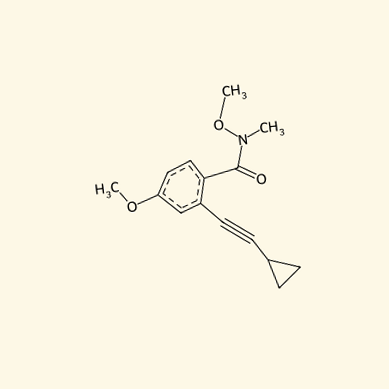 COc1ccc(C(=O)N(C)OC)c(C#CC2CC2)c1